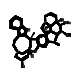 CCC1=C[C@@H]2CN(CCc3c([nH]c4ccccc34)[C@@](C)(c3cc4c(cc3OC)N(C)C3[C@H](O)[C@H](OC(C)=O)[C@]5(CC)C=CCN6CC[C@]43[C@@H]65)C2)C1